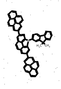 CC1(C)c2ccccc2-c2ccc(-n3c4cc(-c5cc6ccc7cccc8ccc(c5)c6c78)cc5ccc6cc(-c7cc8ccc9cccc%10ccc(c7)c8c9%10)cc3c6c54)cc21